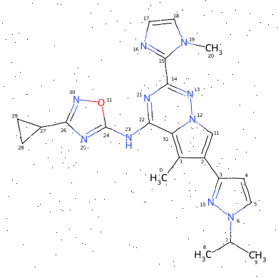 Cc1c(-c2ccn(C(C)C)n2)cn2nc(-c3nccn3C)nc(Nc3nc(C4CC4)no3)c12